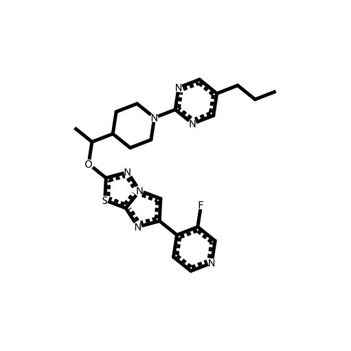 CCCc1cnc(N2CCC(C(C)Oc3nn4cc(-c5ccncc5F)nc4s3)CC2)nc1